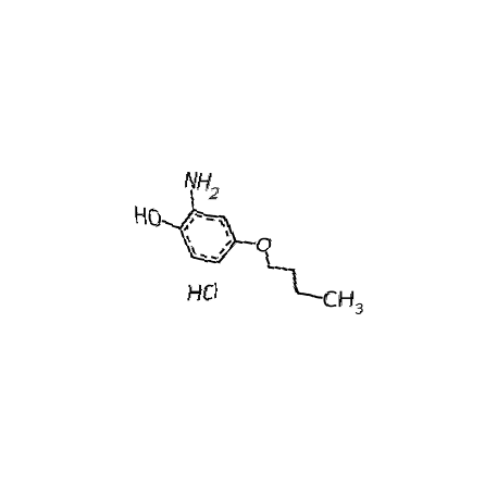 CCCCOc1ccc(O)c(N)c1.Cl